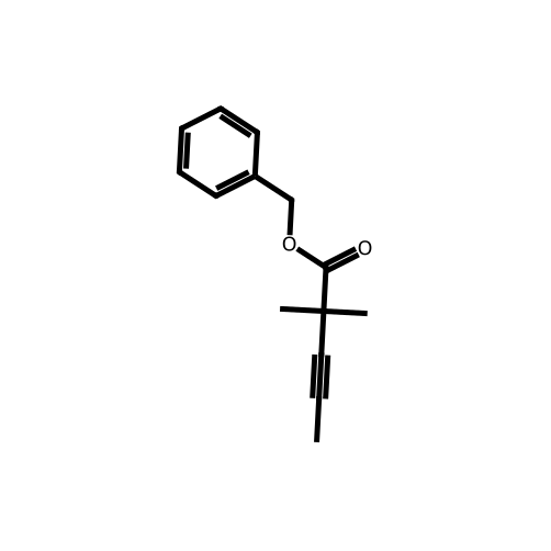 CC#CC(C)(C)C(=O)OCc1ccccc1